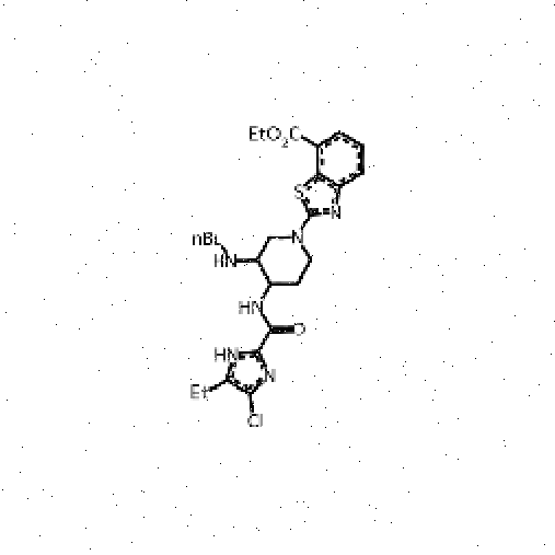 CCCCNC1CN(c2nc3cccc(C(=O)OCC)c3s2)CCC1NC(=O)c1nc(Cl)c(CC)[nH]1